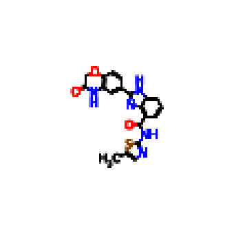 Cc1cnc(NC(=O)c2cccc3[nH]c(-c4ccc5c(c4)NC(=O)CO5)nc23)s1